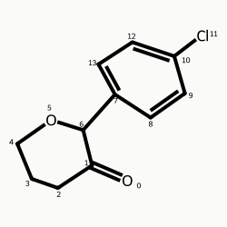 O=C1CCCOC1c1ccc(Cl)cc1